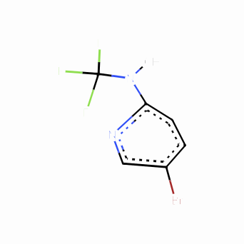 CN(c1ccc(Br)cn1)C(F)(F)F